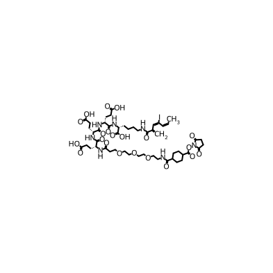 C=C(/C=C(I)\C=C/C)C(=O)NCCCC[C@@H](NC(=O)[C@@H](CCC(=O)O)NC(=O)[C@@H](CCC(=O)O)NC(=O)[C@@H](CCC(=O)O)NC(=O)CCOCCOCCOCCNC(=O)C1CCC(C(=O)ON2C(=O)CCC2=O)CC1)C(=O)O